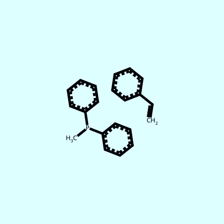 C=Cc1ccccc1.CP(c1ccccc1)c1ccccc1